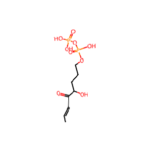 CC=CC(=O)C(O)CCCOP(=O)(O)OP(=O)(O)O